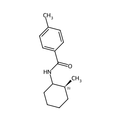 Cc1ccc(C(=O)NC2CCCC[C@@H]2C)cc1